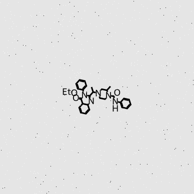 CCOc1ccccc1N1C(=O)C2C=CC=CC2N=C1C(C)N1CCN(C(=O)Nc2ccccc2)C(C)C1